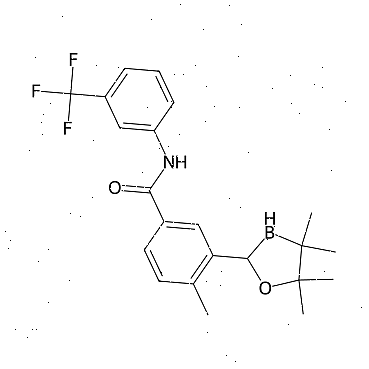 Cc1ccc(C(=O)Nc2cccc(C(F)(F)F)c2)cc1C1BC(C)(C)C(C)(C)O1